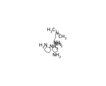 CCN(CC)CCCN.NC1CCC(N)CC1.NC1CCCCC1N